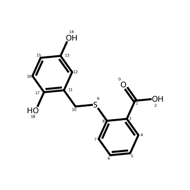 O=C(O)c1ccccc1SCc1cc(O)ccc1O